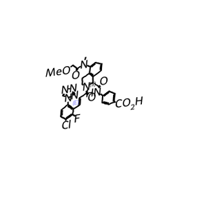 COCC(=O)N(C)c1cccc2c1CCN(C(=O)/C=C/c1c(-n3cnnn3)ccc(Cl)c1F)[C@@H]2C(=O)Nc1ccc(C(=O)O)cc1